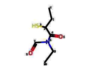 CCC(S)C(=O)N(C=O)CC